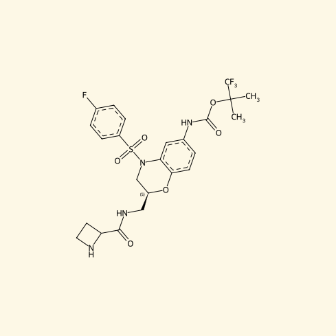 CC(C)(OC(=O)Nc1ccc2c(c1)N(S(=O)(=O)c1ccc(F)cc1)C[C@H](CNC(=O)C1CCN1)O2)C(F)(F)F